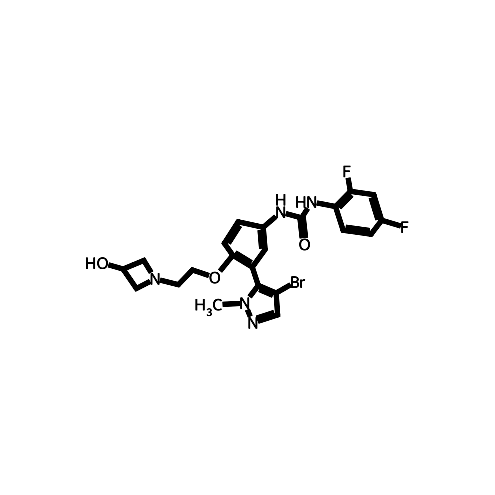 Cn1ncc(Br)c1-c1cc(NC(=O)Nc2ccc(F)cc2F)ccc1OCCN1CC(O)C1